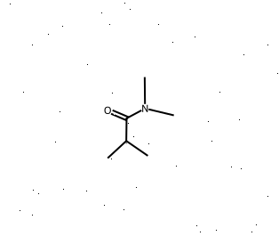 C[C](C)C(=O)N(C)C